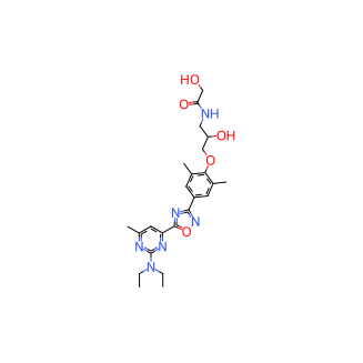 CCN(CC)c1nc(C)cc(-c2nc(-c3cc(C)c(OCC(O)CNC(=O)CO)c(C)c3)no2)n1